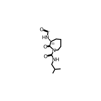 CC(C)CNC(=O)N1CCCC[C@H](N[C]=O)C1=O